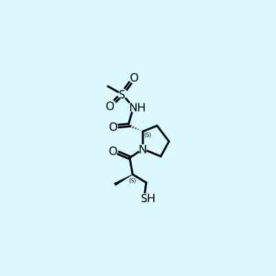 C[C@H](CS)C(=O)N1CCC[C@H]1C(=O)NS(C)(=O)=O